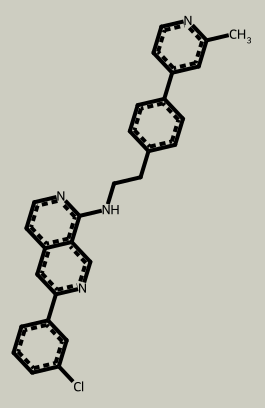 Cc1cc(-c2ccc(CCNc3nccc4cc(-c5cccc(Cl)c5)ncc34)cc2)ccn1